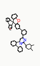 CC1CC=C(c2nc(-c3cccc(-c4ccc5c(c4)Oc4ccccc4C54c5ccccc5-c5ccccc54)c3)cc(-c3ccccc3-c3ccccc3)n2)CC1C